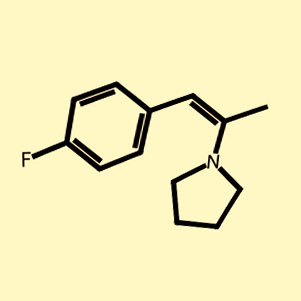 CC(=Cc1ccc(F)cc1)N1CCCC1